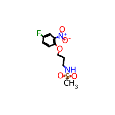 CS(=O)(=O)NCCCOc1ccc(F)cc1[N+](=O)[O-]